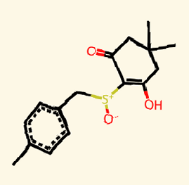 Cc1ccc(C[S+]([O-])C2=C(O)CC(C)(C)CC2=O)cc1